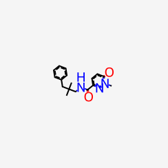 Cn1nc(C(=O)NCC(C)(C)Cc2ccccc2)ccc1=O